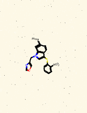 CNc1ccc2c(Sc3ccccc3[N+](=O)[O-])cn(Cc3cocn3)c2c1